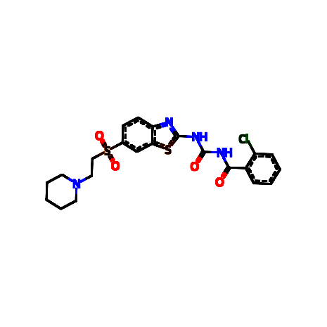 O=C(NC(=O)c1ccccc1Cl)Nc1nc2ccc(S(=O)(=O)CCN3CCCCC3)cc2s1